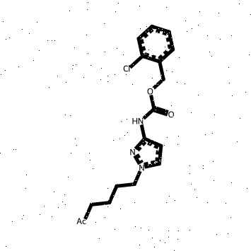 CC(=O)CCCCn1ccc(NC(=O)OCc2ccccc2Cl)n1